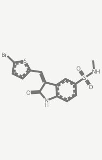 CNS(=O)(=O)c1ccc2c(c1)C(=Cc1ccc(Br)s1)C(=O)N2